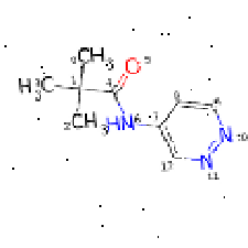 CC(C)(C)C(=O)Nc1ccnnc1